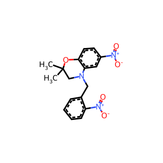 CC1(C)CN(Cc2ccccc2[N+](=O)[O-])c2cc([N+](=O)[O-])ccc2O1